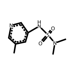 Cc1cncc(NS(=O)(=O)N(C)C)c1